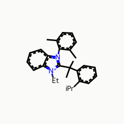 CC[n+]1c(C(C)(C)c2ccccc2C(C)C)n(-c2c(C)cccc2C)c2ccccc21